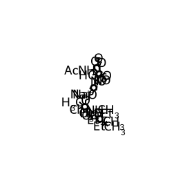 CCC(Oc1ccc(C(C)(C)CC)cc1C(C)(C)CC)C(=O)Nc1cc(OCCOc2ccc(N=Nc3c(S(=O)(=O)[O-])cc4cc(S(=O)(=O)[O-])cc(NC(C)=O)c4c3O)cc2)c(C)c(Cl)c1O.[Na+].[Na+]